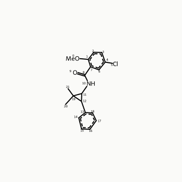 COc1ccc(Cl)cc1C(=O)NC1C(c2ccccc2)C1(C)C